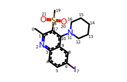 Cc1nc2ccc(I)cc2c(N2CCCCC2)c1S(C)(=O)=O